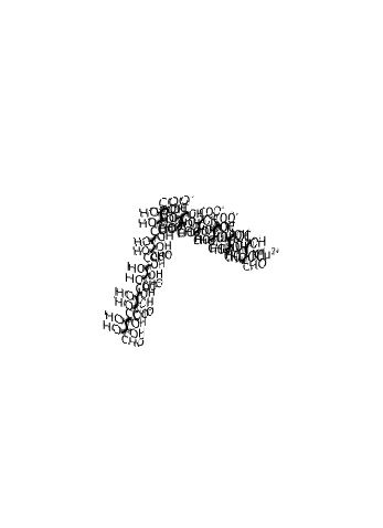 O=C[C@H](O)[C@@H](O)[C@@H](O)[C@H](O)C(=O)[O-].O=C[C@H](O)[C@@H](O)[C@@H](O)[C@H](O)C(=O)[O-].O=C[C@H](O)[C@@H](O)[C@@H](O)[C@H](O)C(=O)[O-].O=C[C@H](O)[C@@H](O)[C@@H](O)[C@H](O)C(=O)[O-].O=C[C@H](O)[C@@H](O)[C@@H](O)[C@H](O)C(=O)[O-].O=C[C@H](O)[C@@H](O)[C@@H](O)[C@H](O)C(=O)[O-].O=C[C@H](O)[C@@H](O)[C@@H](O)[C@H](O)C(=O)[O-].O=C[C@H](O)[C@@H](O)[C@@H](O)[C@H](O)C(=O)[O-].O=C[C@H](O)[C@@H](O)[C@@H](O)[C@H](O)C(=O)[O-].O=C[C@H](O)[C@@H](O)[C@@H](O)[C@H](O)C(=O)[O-].[Cu+2].[K+]